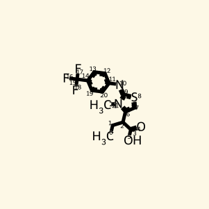 CCC(C(=O)O)c1csc(=Nc2ccc(C(F)(F)F)cc2)n1C